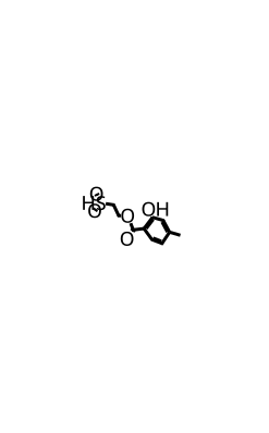 Cc1ccc(C(=O)OCC[SH](=O)=O)c(O)c1